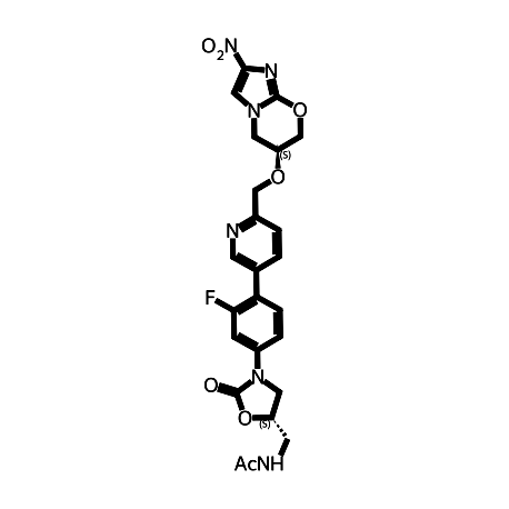 CC(=O)NC[C@H]1CN(c2ccc(-c3ccc(CO[C@@H]4COc5nc([N+](=O)[O-])cn5C4)nc3)c(F)c2)C(=O)O1